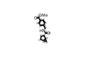 COC(=O)c1ccc(CNC(=O)[C@H]2CCC3CC32)cc1